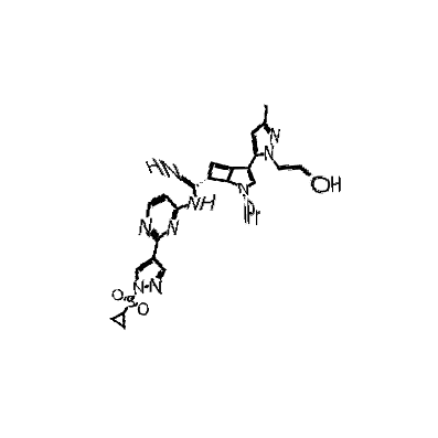 Cc1cc(C2=CN(C(C)C)C3C2=C[C@H]3C(=N)Nc2ccnc(-c3cnn(S(=O)(=O)C4CC4)c3)n2)n(CCO)n1